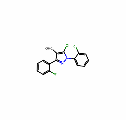 O=Cc1c(-c2ccccc2F)nn(-c2ccccc2Cl)c1Cl